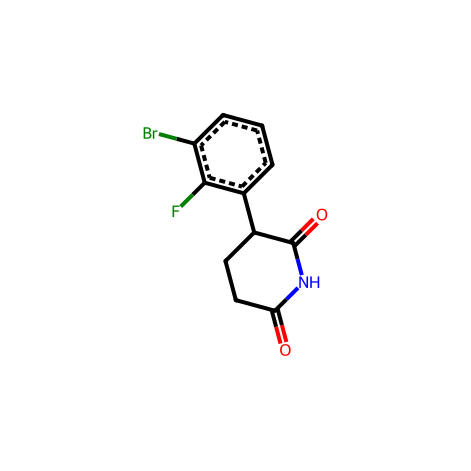 O=C1CCC(c2cccc(Br)c2F)C(=O)N1